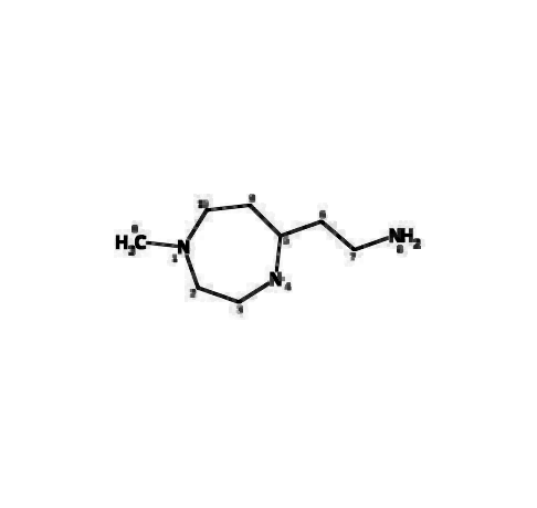 CN1CC[N]C(CCN)CC1